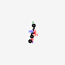 O=C(CCc1ccc(F)cc1)N/C(=C/c1ccc(Oc2ccccc2I)cc1)C(=O)O